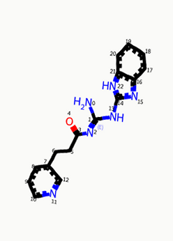 N/C(=N\C(=O)CCc1cccnc1)Nc1nc2ccccc2[nH]1